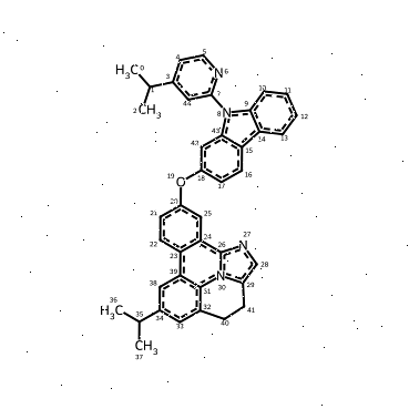 CC(C)c1ccnc(-n2c3ccccc3c3ccc(Oc4ccc5c(c4)c4ncc6n4c4c(cc(C(C)C)cc54)CC6)cc32)c1